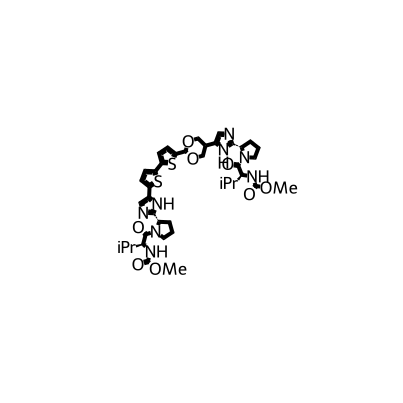 COC(=O)N[C@H](C(=O)N1CCC[C@H]1c1ncc(-c2ccc(-c3ccc(C4OCC(c5cnc([C@@H]6CCCN6C(=O)[C@@H](NC(=O)OC)C(C)C)[nH]5)CO4)s3)s2)[nH]1)C(C)C